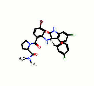 CN(C)C(=O)C1CCCN1C(=O)c1ccc(Br)cc1N[C@@]1(Cc2cccc(Cl)c2)C(=O)Nc2cc(Cl)ccc21